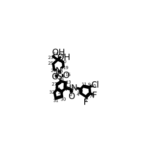 O=C(Nc1cc(F)c(F)c(Cl)c1)c1cc(S(=O)(=O)N2CCC(O)(CO)CC2)cc2c1C=CC2